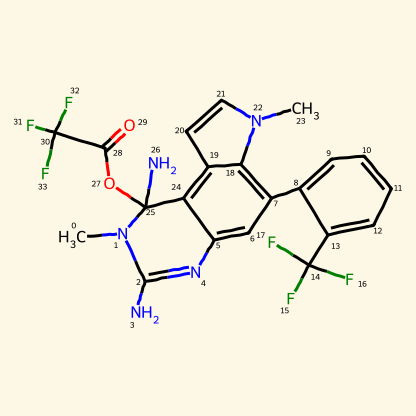 CN1C(N)=Nc2cc(-c3ccccc3C(F)(F)F)c3c(ccn3C)c2C1(N)OC(=O)C(F)(F)F